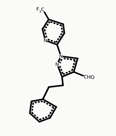 O=Cc1cn(-c2ccc(C(F)(F)F)cn2)nc1CCc1ccccc1